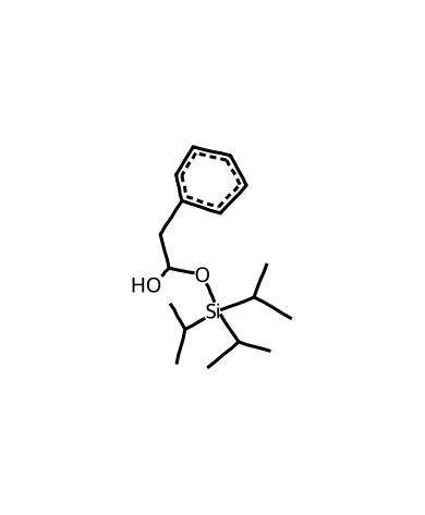 CC(C)[Si](OC(O)Cc1ccccc1)(C(C)C)C(C)C